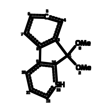 COC1(OC)c2ccccc2-c2ccc[siH]c21